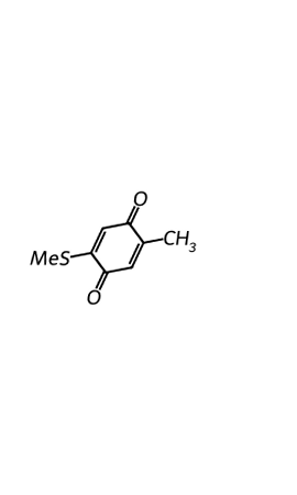 CSC1=CC(=O)C(C)=CC1=O